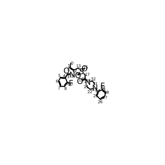 Cc1oc(-c2ccccc2F)nc1CS(=O)(=O)CC(=O)N1CCN(c2ccccc2F)CC1